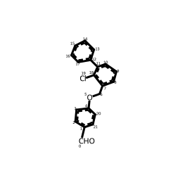 O=Cc1ccc(OCc2cccc(-c3ccccc3)c2Cl)cc1